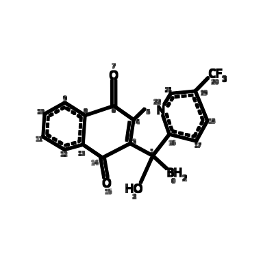 BC(O)(C1=C(C)C(=O)c2ccccc2C1=O)c1ccc(C(F)(F)F)cn1